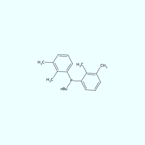 CCCCP(c1cccc(C)c1C)c1cccc(C)c1C